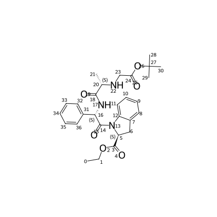 CCOC(=O)[C@@H]1Cc2ccccc2N1C(=O)[C@@H](NC(=O)[C@H](C)NCC(=O)OC(C)(C)C)c1ccccc1